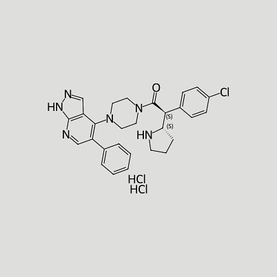 Cl.Cl.O=C([C@@H](c1ccc(Cl)cc1)[C@@H]1CCCN1)N1CCN(c2c(-c3ccccc3)cnc3[nH]ncc23)CC1